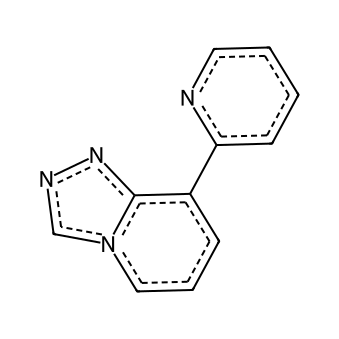 c1ccc(-c2cccn3cnnc23)nc1